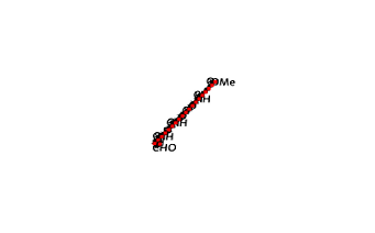 COC(=O)CCCCCCCC(=O)NCCCOCCOCCOCCCNC(=O)CCSSCCNC(=O)c1ccc(C=O)cc1